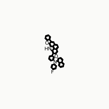 Fc1ccc(N(c2cccc3ccccc23)c2cccc3c2oc2cc4ccc5cc6c7ccccc7oc6c6[nH]c(c23)c4c56)cc1